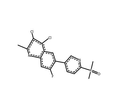 Cc1nc2cc(F)c(-c3ccc(P(C)(C)=O)nc3)cc2c(Cl)c1Cl